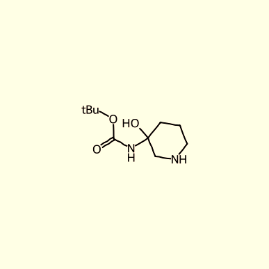 CC(C)(C)OC(=O)NC1(O)CCCNC1